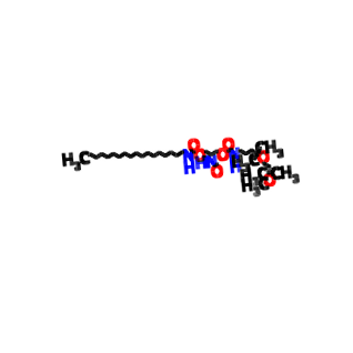 CCCCCCCCCCCCCCCCCCNC(=O)OCC(COC(=O)NCCCC(C)(C)OCCC(C)(C)OC)NC=O